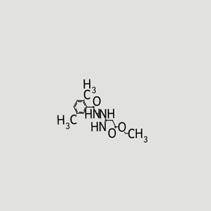 CCOC(=O)CC(=N)NNC(=O)c1cc(C)ccc1C